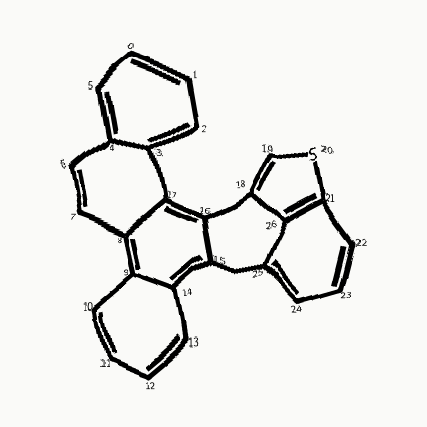 c1ccc2c(c1)ccc1c3ccccc3c3c(c21)-c1csc2cccc-3c12